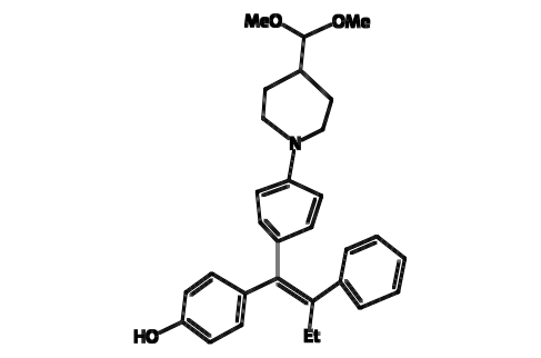 CC/C(=C(\c1ccc(O)cc1)c1ccc(N2CCC(C(OC)OC)CC2)cc1)c1ccccc1